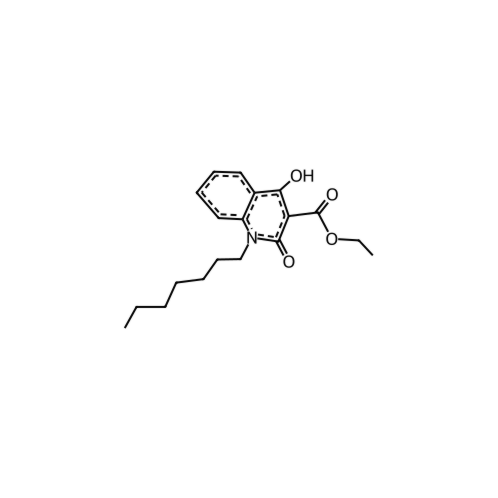 CCCCCCCn1c(=O)c(C(=O)OCC)c(O)c2ccccc21